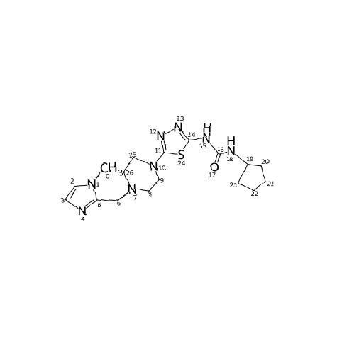 Cn1ccnc1CN1CCN(c2nnc(NC(=O)NC3CCCC3)s2)CC1